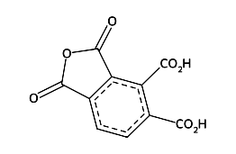 O=C(O)c1ccc2c(c1C(=O)O)C(=O)OC2=O